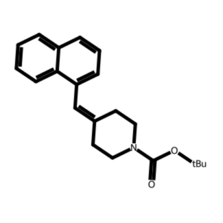 CC(C)(C)OC(=O)N1CCC(=Cc2cccc3ccccc23)CC1